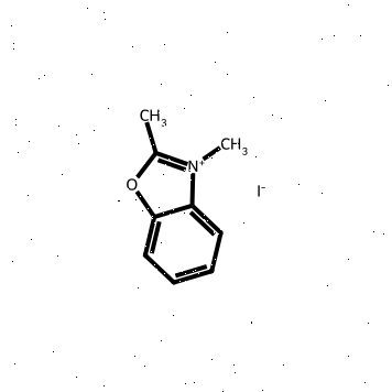 Cc1oc2ccccc2[n+]1C.[I-]